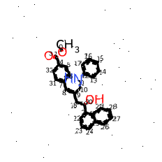 COC(=O)c1ccc(C=C(CNc2ccccc2)CC(O)c2cccc3ccccc23)cc1